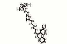 O=P(O)(O)CCCNCCCCCCCCC(Cc1ccccc1)c1cccc(Cl)c1